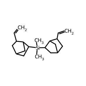 C=CC1CC2CC1C([Si](C)(C)C1CC3CC(C=C)C1C3)C2